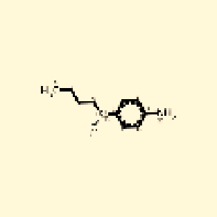 CCCC[S@@+]([O-])c1ccc(N)cc1